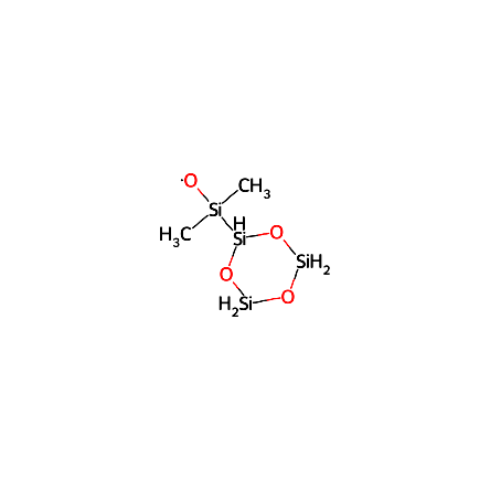 C[Si](C)([O])[SiH]1O[SiH2]O[SiH2]O1